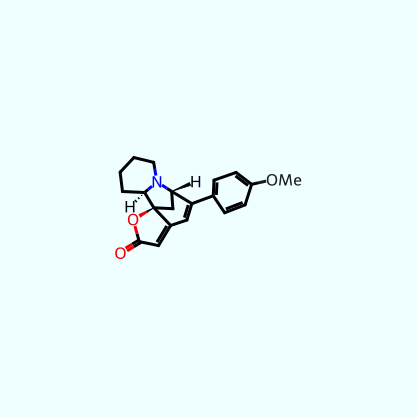 COc1ccc(C2=CC3=CC(=O)O[C@@]34C[C@@H]2N2CCCC[C@@H]24)cc1